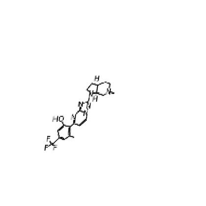 Cc1cc(C(F)(F)F)cc(O)c1-c1ccn2nc(N3CC[C@H]4CCN(C)C[C@H]43)nc2n1